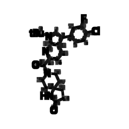 CC(C)(C)n1cc(-c2ccc(Cl)c(F)c2)c2ccc(C(=O)N3CCC4(CCC(=O)N4)CC3)nc21